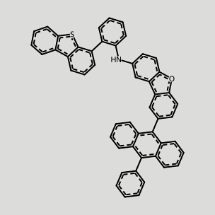 c1ccc(-c2c3ccccc3c(-c3ccc4oc5ccc(Nc6ccccc6-c6cccc7c6sc6ccccc67)cc5c4c3)c3ccccc23)cc1